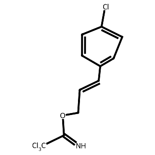 N=C(OC/C=C/c1ccc(Cl)cc1)C(Cl)(Cl)Cl